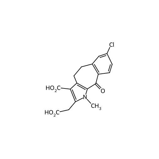 Cn1c(CC(=O)O)c(C(=O)O)c2c1C(=O)c1ccc(Cl)cc1CC2